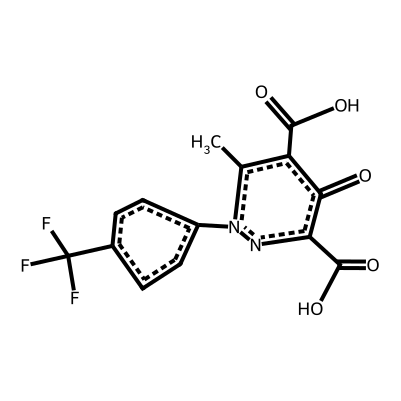 Cc1c(C(=O)O)c(=O)c(C(=O)O)nn1-c1ccc(C(F)(F)F)cc1